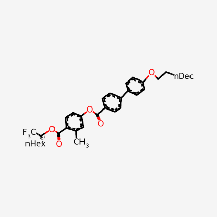 CCCCCCCCCCCCOc1ccc(-c2ccc(C(=O)Oc3ccc(C(=O)O[C@H](CCCCCC)C(F)(F)F)c(C)c3)cc2)cc1